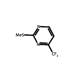 CSc1n[c]cc(C(F)(F)F)n1